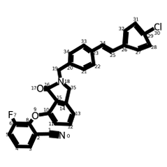 N#Cc1cccc(F)c1Oc1cccc2c1C(=O)N(Cc1ccc(C=Cc3ccc(Cl)cc3)cc1)C2